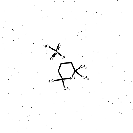 CC1(C)CCCC(C)(C)N1.O=S(=O)(O)O